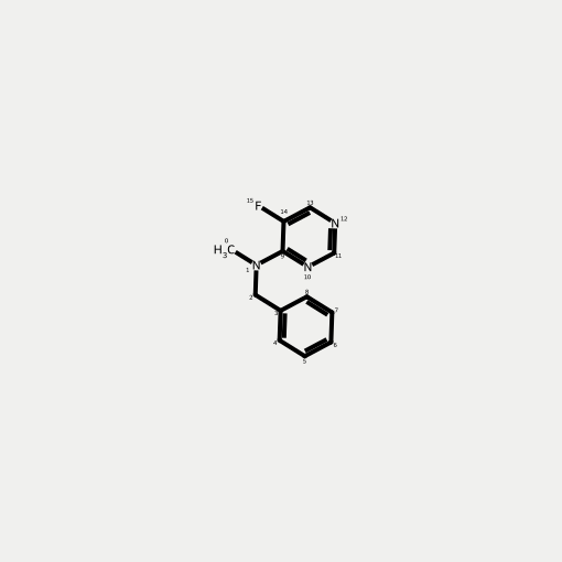 CN(Cc1ccccc1)c1ncncc1F